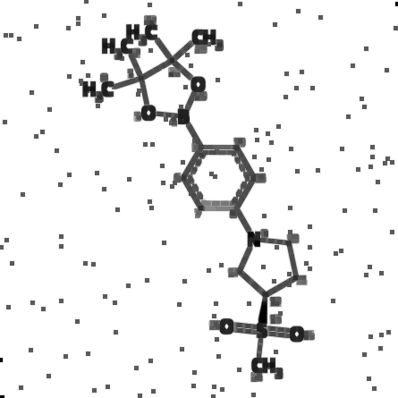 CC1(C)OB(c2ccc(N3CC[C@@H](S(C)(=O)=O)C3)cc2)OC1(C)C